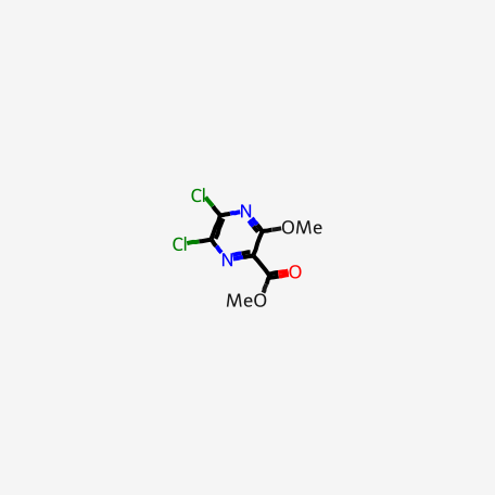 COC(=O)c1nc(Cl)c(Cl)nc1OC